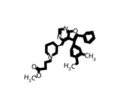 CCc1ccc(-c2c(-c3ccccc3)oc3ncnc(C[C@@H]4CCCN(CCCC(=O)OC)C4)c23)cc1C